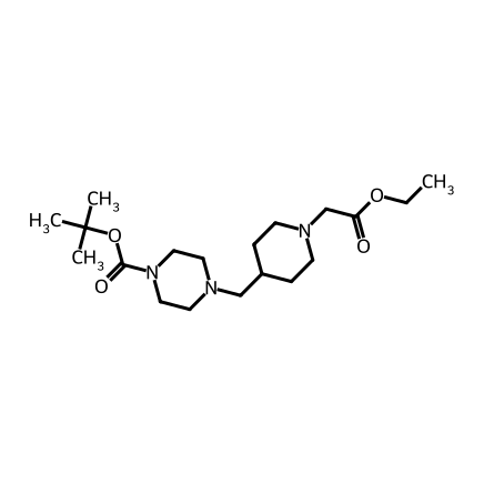 CCOC(=O)CN1CCC(CN2CCN(C(=O)OC(C)(C)C)CC2)CC1